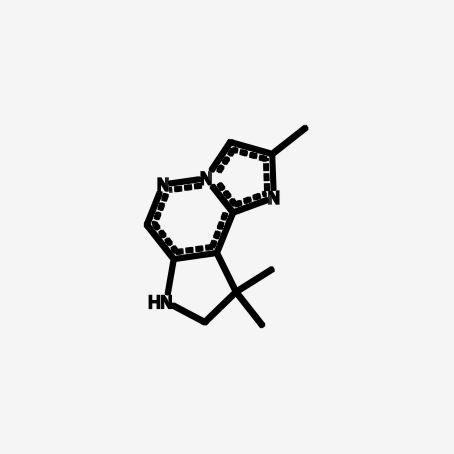 Cc1cn2ncc3c(c2n1)C(C)(C)CN3